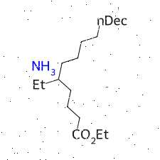 CCCCCCCCCCCCCCC(CC)CCCC(=O)OCC.N